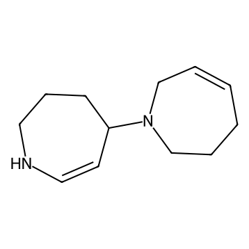 C1=CCN(C2C=CNCCC2)CCC1